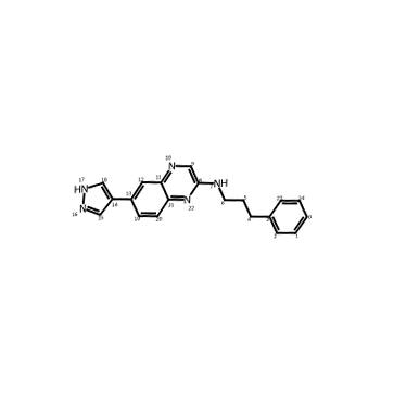 c1ccc(CCCNc2cnc3cc(-c4cn[nH]c4)ccc3n2)cc1